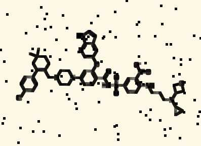 CC1(C)CCC(CN2CCN(c3ccc(C(=O)NS(=O)(=O)c4ccc(NCCCN(C5CC5)C5COC5)c([N+](=O)[O-])c4)c(Oc4cnc5[nH]ccc5c4)c3)CC2)=C(c2ccc(Cl)cc2)C1